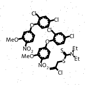 C=C(Cl)CSC(=S)N(CC)CC.COc1cc(Oc2ccc(Cl)cc2Cl)ccc1[N+](=O)[O-].COc1cc(Oc2ccc(Cl)cc2Cl)ccc1[N+](=O)[O-]